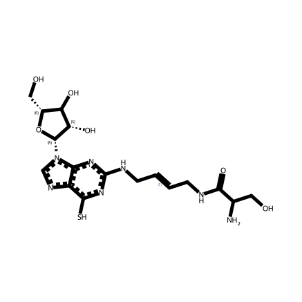 NC(CO)C(=O)NC/C=C/CNc1nc(S)c2ncn([C@@H]3O[C@H](CO)C(O)[C@@H]3O)c2n1